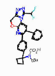 CC(C)(C)N(C(=O)O)C1(c2ccc(-c3nc4c(cc3-c3ccccc3)-n3c(nnc3C(F)F)CO4)cc2)CCC1